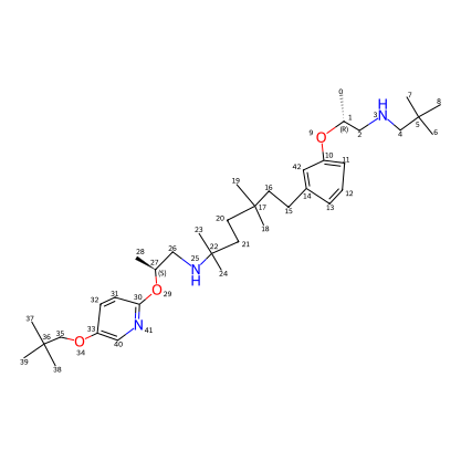 C[C@H](CNCC(C)(C)C)Oc1cccc(CCC(C)(C)CCC(C)(C)NC[C@H](C)Oc2ccc(OCC(C)(C)C)cn2)c1